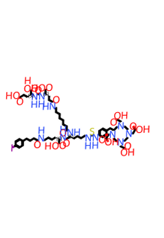 O=C(O)CC[C@H](NC(=O)N[C@@H](CCC(=O)NCCCCCCCC(=O)N[C@@H](CCCCNC(=S)Nc1ccc(CC2CN(CC(=O)O)CCN(CC(=O)O)CCN(CC(=O)O)CCN2CC(=O)O)cc1)C(=O)N[C@@H](CCCCNC(=O)CCCc1ccc(I)cc1)C(=O)O)C(=O)O)C(=O)O